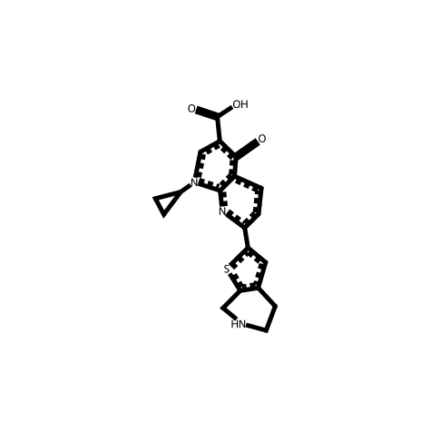 O=C(O)c1cn(C2CC2)c2nc(-c3cc4c(s3)CNCC4)ccc2c1=O